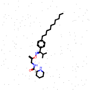 C=C(CNC(=O)[C@H]1CCCCN1)O/N=C(/c1ccc(CCCCCCCCCC)cc1)C(C)C